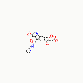 COc1cnc2c(c1)C(CC(=O)NCc1ccccn1)=C(C)C2=Cc1cc(OC)c(CC(=O)O)c(OC)c1